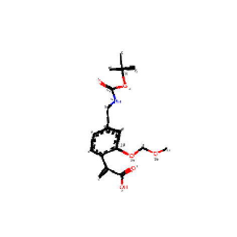 C=C(C(=O)O)c1ccc(CNC(=O)OC(C)(C)C)cc1OCOC